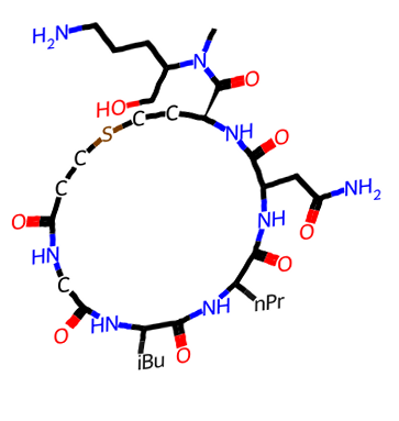 CCCC1NC(=O)C(C(C)CC)NC(=O)CNC(=O)CCSCC[C@@H](C(=O)N(C)C(CO)CCCN)NC(=O)C(CC(N)=O)NC1=O